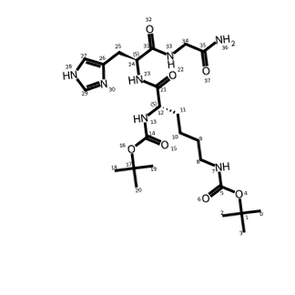 CC(C)(C)OC(=O)NCCCC[C@H](NC(=O)OC(C)(C)C)C(=O)N[C@@H](Cc1c[nH]cn1)C(=O)NCC(N)=O